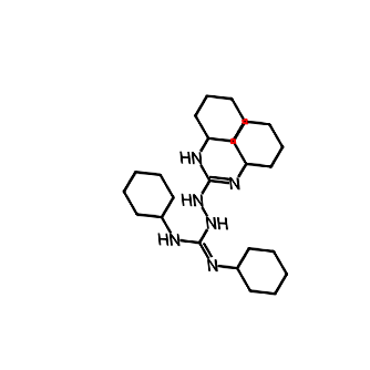 C1CCC(N=C(NNC(=NC2CCCCC2)NC2CCCCC2)NC2CCCCC2)CC1